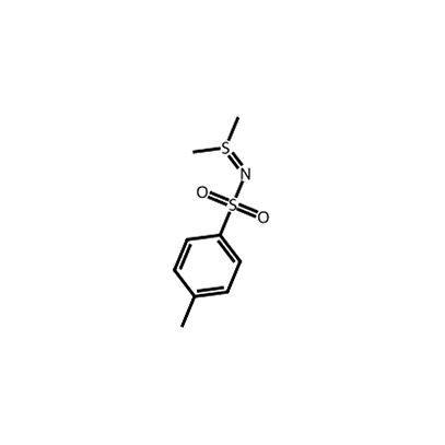 Cc1ccc(S(=O)(=O)N=S(C)C)cc1